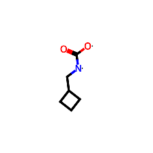 [O]C(=O)[N]CC1CCC1